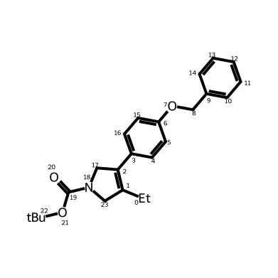 CCC1=C(c2ccc(OCc3ccccc3)cc2)CN(C(=O)OC(C)(C)C)C1